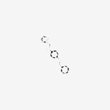 c1ccc(COc2ccc(OCn3nccn3)cc2)cc1